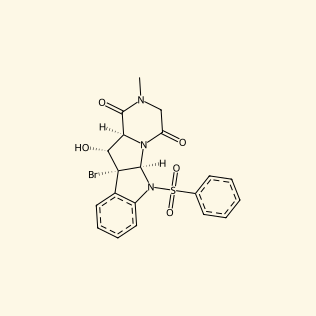 CN1CC(=O)N2[C@H](C1=O)[C@@H](O)[C@]1(Br)c3ccccc3N(S(=O)(=O)c3ccccc3)[C@H]21